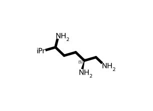 CC(C)C(N)CC[C@H](N)CN